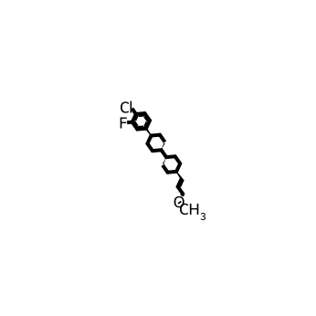 COCC=C[C@H]1CC[C@H]([C@H]2CC[C@H](c3ccc(Cl)c(F)c3)CC2)CC1